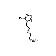 COCCOCCn1nnnc1S